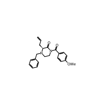 C=CC[C@H]1C(=O)N(C(=O)c2ccc(OC)cc2)CCN1Cc1ccccc1